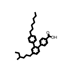 CCCCCCCc1ccc(-c2cc(CCCC(C)CC)ccc2-c2ccc(C(=O)O)cc2)cc1